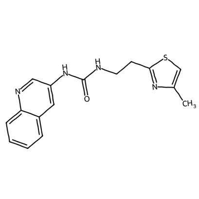 Cc1csc(CCNC(=O)Nc2cnc3ccccc3c2)n1